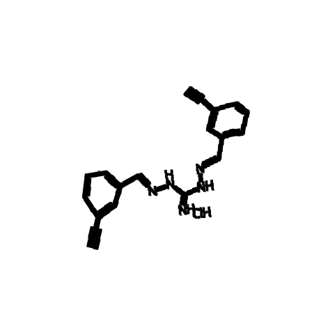 C#Cc1cccc(C=NNC(=N)NN=Cc2cccc(C#C)c2)c1.Cl